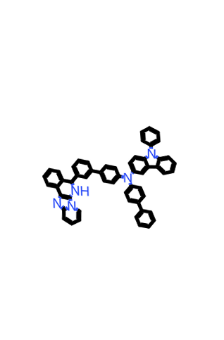 c1ccc(-c2ccc(N(c3ccc(-c4cccc(C5Nc6c(nc7ccccn67)-c6ccccc65)c4)cc3)c3ccc4c(c3)c3ccccc3n4-c3ccccc3)cc2)cc1